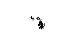 CC(=NOc1ccc(C=NNC(=S)Nc2ccccc2C(F)(F)F)cc1)c1ccc(OC(F)(F)F)cc1